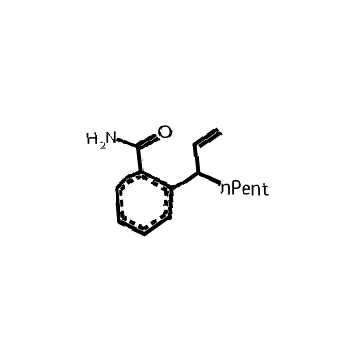 C=CC(CCCCC)c1ccccc1C(N)=O